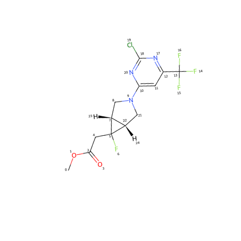 COC(=O)CC1(F)[C@@H]2CN(c3cc(C(F)(F)F)nc(Cl)n3)C[C@@H]21